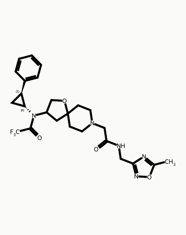 Cc1nc(CNC(=O)CN2CCC3(CC2)CC(N(C(=O)C(F)(F)F)[C@@H]2C[C@H]2c2ccccc2)CO3)no1